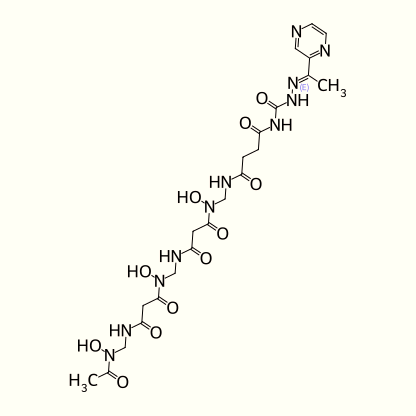 CC(=O)N(O)CNC(=O)CC(=O)N(O)CNC(=O)CC(=O)N(O)CNC(=O)CCC(=O)NC(=O)N/N=C(\C)c1cnccn1